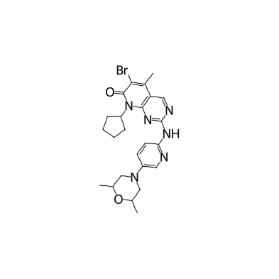 Cc1c(Br)c(=O)n(C2CCCC2)c2nc(Nc3ccc(N4CC(C)OC(C)C4)cn3)ncc12